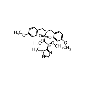 COc1ccc(CN(Cc2ccc(OC)cc2)S(=O)(=O)[C@H](C)[C@@H](OC)c2ncnn2C)cc1